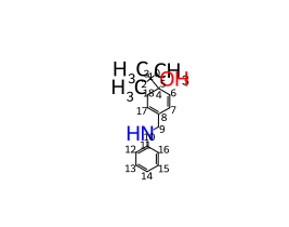 CC(C)(C)C1(O)C=CC(CNc2ccccc2)=CC1